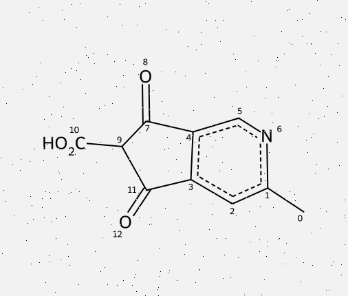 Cc1cc2c(cn1)C(=O)C(C(=O)O)C2=O